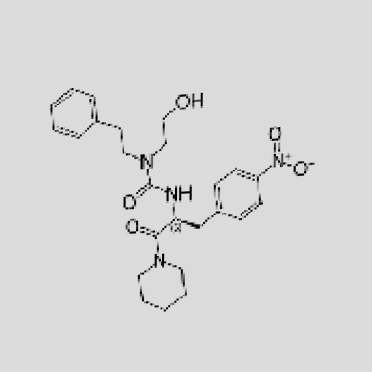 O=C(N[C@@H](Cc1ccc([N+](=O)[O-])cc1)C(=O)N1CCCCC1)N(CCO)CCc1ccccc1